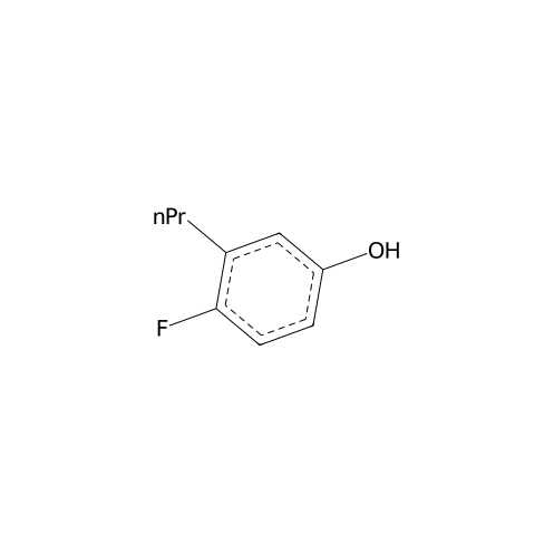 [CH2]CCc1cc(O)ccc1F